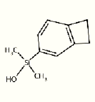 C[Si](C)(O)c1ccc2c(c1)CC2